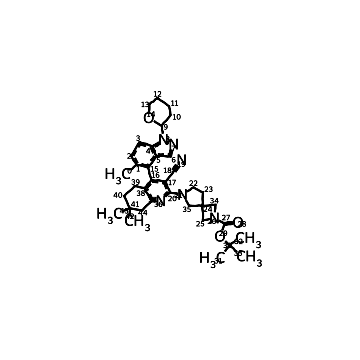 Cc1ccc2c(cnn2C2CCCCO2)c1-c1c(C#N)c(N2CCC3(CN(C(=O)OC(C)(C)C)C3)C2)nc2c1CCC(C)(C)C2